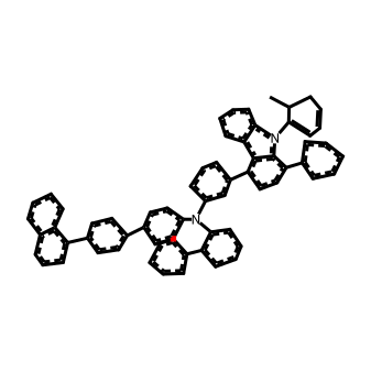 CC1CC=CC=C1n1c2ccccc2c2c(-c3cccc(N(c4ccc(-c5ccc(-c6cccc7ccccc67)cc5)cc4)c4ccccc4-c4ccccc4)c3)ccc(-c3ccccc3)c21